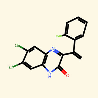 C=C(c1ccccc1F)c1nc2cc(Cl)c(Cl)cc2[nH]c1=O